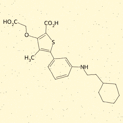 Cc1c(-c2cccc(NCCC3CCCCC3)c2)sc(C(=O)O)c1OCC(=O)O